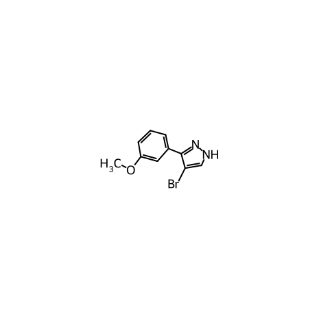 COc1cccc(-c2n[nH]cc2Br)c1